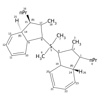 CCCC1C(C)C(S(C)(C)C2C3C=CC=C[C@H]3[C@@H](CCC)C2C)C2C=CC=C[C@H]21